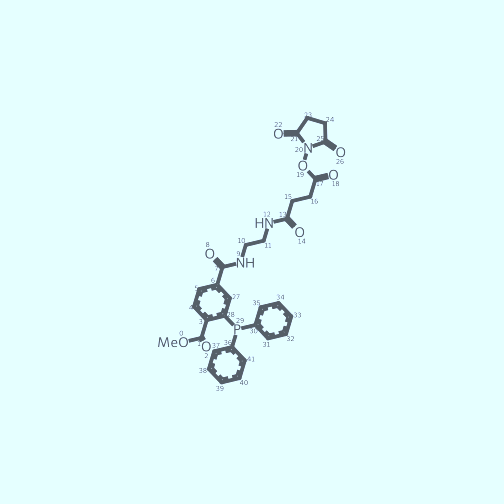 COC(=O)c1ccc(C(=O)NCCNC(=O)CCC(=O)ON2C(=O)CCC2=O)cc1P(c1ccccc1)c1ccccc1